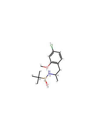 COc1cc(Cl)ccc1CC(C)N[S@@+]([O-])C(C)(C)C